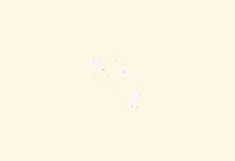 N#Cc1ccc2[nH]cc([C@@H]3C[C@H]3CNCCCn3ccnc3)c2c1